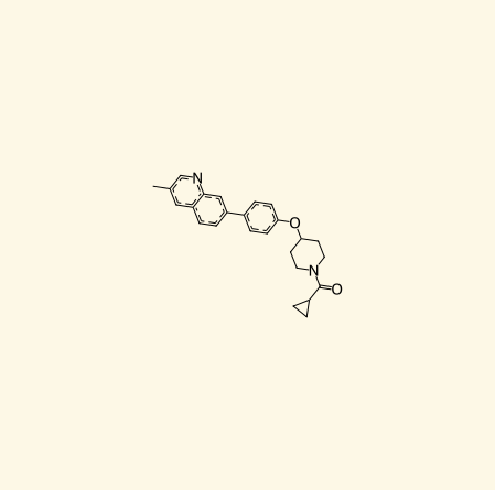 Cc1cnc2cc(-c3ccc(OC4CCN(C(=O)C5CC5)CC4)cc3)ccc2c1